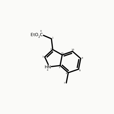 CCOC(=O)Cc1c[nH]c2c(C)cccc12